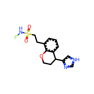 O=S(=O)(CCc1cccc2c1OCCC2c1c[nH]cn1)NF